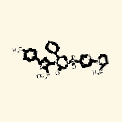 Cc1ccc(-c2cc(N3C(=O)CN(S(=O)(=O)c4ccc(N5CCCC5C)nc4)CC3C3CCCCC3)c(C(=O)O)s2)cc1